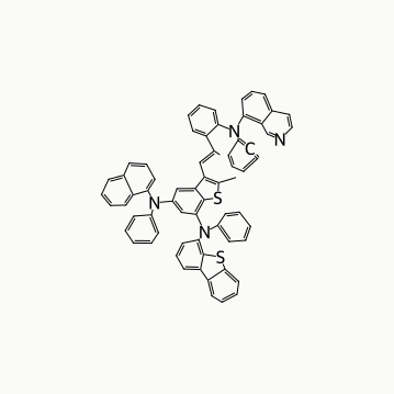 C/C(=C\c1c(C)sc2c(N(c3ccccc3)c3cccc4c3sc3ccccc34)cc(N(c3ccccc3)c3cccc4ccccc34)cc12)c1ccccc1N(C1=C=C=CC=C1)c1cccc2ccncc12